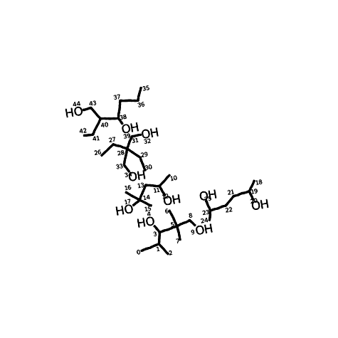 CC(C)C(O)C(C)(C)CO.CC(O)CC(C)(C)O.CC(O)CCC(C)O.CCC(CC)(CO)CO.CCCC(O)C(CC)CO